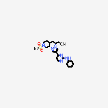 CCS(=O)(=O)N1CCC(CC(CC#N)n2cc(-c3ccnc(Nc4ccccc4)n3)cn2)CC1